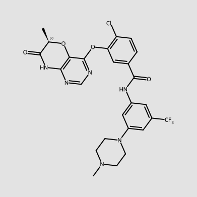 C[C@H]1Oc2c(ncnc2Oc2cc(C(=O)Nc3cc(N4CCN(C)CC4)cc(C(F)(F)F)c3)ccc2Cl)NC1=O